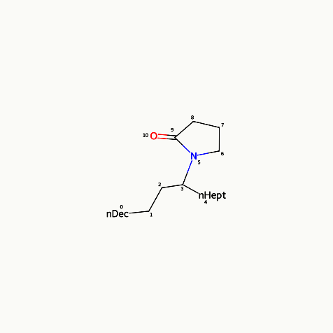 CCCCCCCCCCCCC(CCCCCCC)N1CCCC1=O